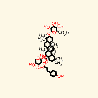 CC1(C)CC[C@]2(C(=O)O[C@@H]3OC[C@@H](O)[C@H](O)[C@H]3OC(=O)/C=C/c3ccc(O)cc3)[C@H](O)C[C@]3(C)C(=CCC4[C@@]5(C)CC[C@H](O[C@@H]6O[C@H](C(=O)O)[C@@H](O)[C@H](O)[C@H]6O)C(C)(C)C5CC[C@]43C)[C@@H]2C1